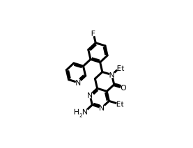 CCc1nc(N)nc2c1C(=O)N(CC)C(c1ccc(F)cc1-c1cccnc1)C2